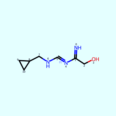 N=C(CO)/N=C/NCC1CC1